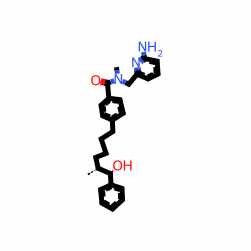 C[C@H](CCCCc1ccc(C(=O)N(C)Cc2cccc(N)n2)cc1)[C@H](O)c1ccccc1